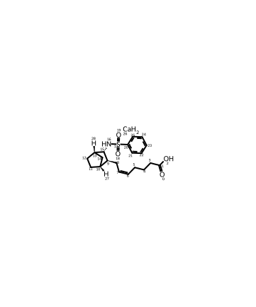 O=C(O)CCC/C=C\C[C@H]1[C@@H]2CC[C@@H](C2)[C@@H]1NS(=O)(=O)c1ccccc1.[CaH2]